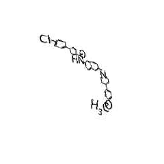 COc1ccc(C2CCN(Cc3ccc4cc(NC(=O)c5ccc(-c6ccc(Cl)cc6)cc5)ccc4c3)CC2)cc1